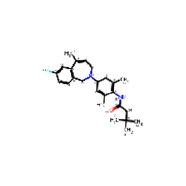 CC1=CC(N2CC=C(C)c3cc(F)ccc3C2)CC(C)=C1NC(=O)CC(C)(C)C